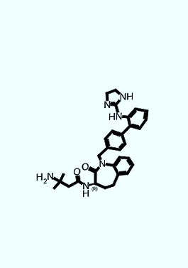 CC(C)(N)CC(=O)N[C@@H]1CCc2ccccc2N(Cc2ccc(-c3ccccc3NC3=NCCN3)cc2)C1=O